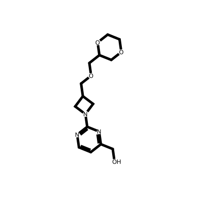 OCc1ccnc(N2CC(COCC3COCCO3)C2)n1